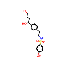 O=S(=O)(NCCc1ccc(C(O)CCCO)cc1)c1ccc(O)cc1